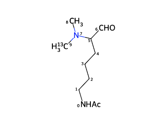 CC(=O)NCCCCC(C=O)N(C)[13CH3]